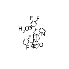 COc1cc(F)c(F)cc1-c1ccc(C[C@H](NC(=O)c2c(F)cccc2F)C(=O)O)c2ncccc12